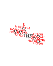 C=C1C[C@@]23CCC4[C@](C)(C5=C(OC6OC(CO)C(O)C(OC7OC(CO)C(O)C(O)C7O)C6OC6OC(C)C(O)C(O)C6O)O5)CCC[C@@]4(C)[C@@H]2CC[C@]1(OC1OC(CO)C(O)C(OC2OC(CO)C(O)C(O)C2O)C1OC1OC(CO)C(O)C(O)C1O)C3